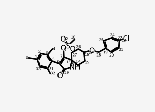 Cc1cc(C)c(C2=C(OS(C)(=O)=O)C3(CCC(OCc4ccc(Cl)cc4)CC3)NC2=O)c(C)c1